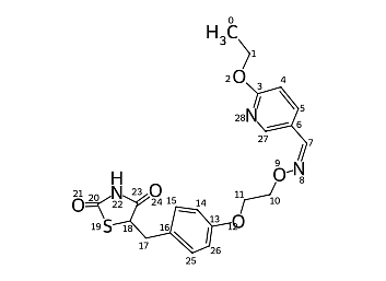 CCOc1ccc(/C=N\OCCOc2ccc(CC3SC(=O)NC3=O)cc2)cn1